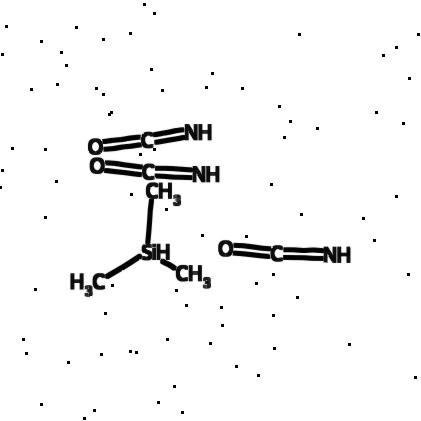 C[SiH](C)C.N=C=O.N=C=O.N=C=O